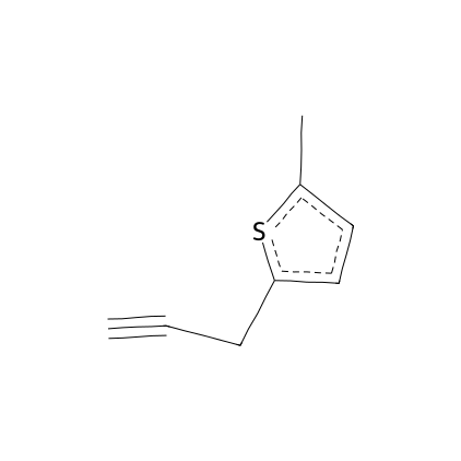 C#CCc1ccc(C)s1